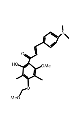 COCOc1c(C)c(O)c(C(=O)C=Cc2ccc(N(C)C)cc2)c(OC)c1C